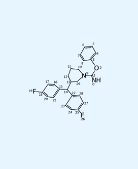 N=C(Oc1ccccc1)N1CCCC(C(c2ccc(F)cc2)c2ccc(F)cc2)C1